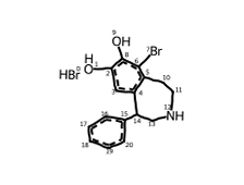 Br.Oc1cc2c(c(Br)c1O)CCNCC2c1ccccc1